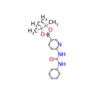 CC1(C)OB(c2ccc(NC(=O)Nc3ccccc3)nc2)OC1(C)C